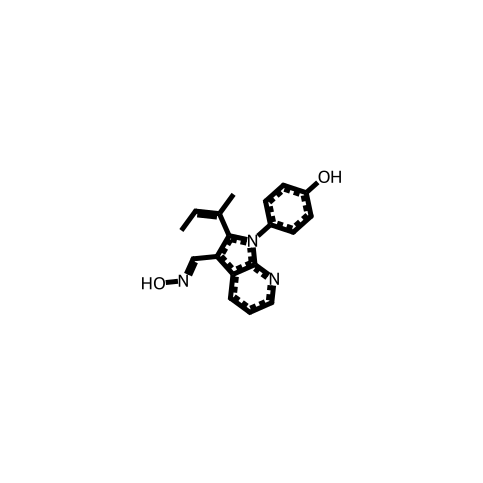 C/C=C(/C)c1c(/C=N/O)c2cccnc2n1-c1ccc(O)cc1